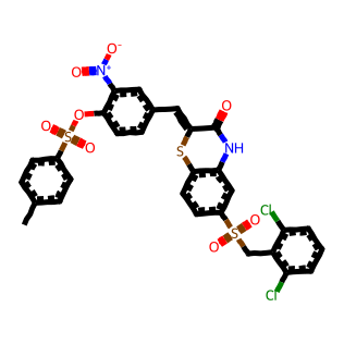 Cc1ccc(S(=O)(=O)Oc2ccc(C=C3Sc4ccc(S(=O)(=O)Cc5c(Cl)cccc5Cl)cc4NC3=O)cc2[N+](=O)[O-])cc1